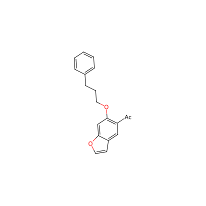 CC(=O)c1cc2ccoc2cc1OCCCc1ccccc1